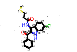 CSCCC(=O)Nc1c(C(=O)c2ccccc2)[nH]c2cc(Cl)ccc12